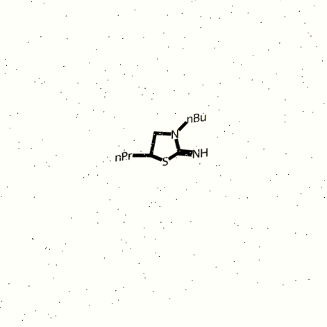 CCCCN1CC(CCC)SC1=N